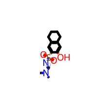 CN(C)/C=N/S(=O)(=O)c1cc2c(cc1O)CCCC2